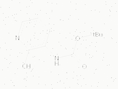 [CH2]c1ncccc1NC(=O)OC(C)(C)C